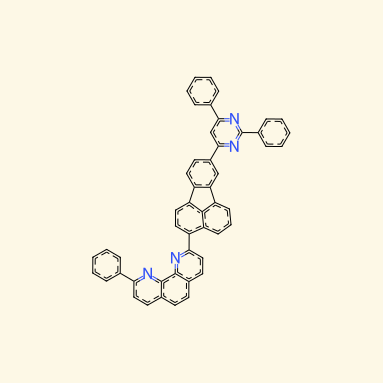 c1ccc(-c2cc(-c3ccc4c(c3)-c3cccc5c(-c6ccc7ccc8ccc(-c9ccccc9)nc8c7n6)ccc-4c35)nc(-c3ccccc3)n2)cc1